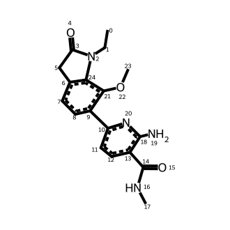 CCN1C(=O)Cc2ccc(-c3ccc(C(=O)NC)c(N)n3)c(OC)c21